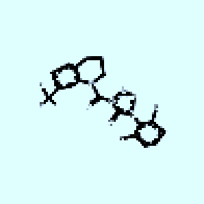 O=C(N1CCCc2ccc(C(F)(F)F)cc21)n1nnn(-c2c(F)cccc2F)c1=O